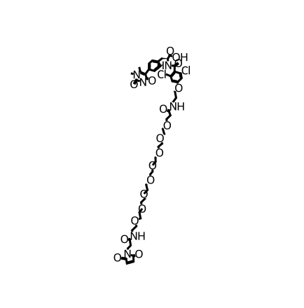 Cc1c(-c2ccc(C[C@H](NC(=O)c3c(Cl)cc(OCCCNC(=O)CCOCCOCCOCCOCCOCCOCCOCCOCCNC(=O)CCN4C(=O)C=CC4=O)cc3Cl)C(=O)O)cc2)c(=O)n(C)c(=O)n1C